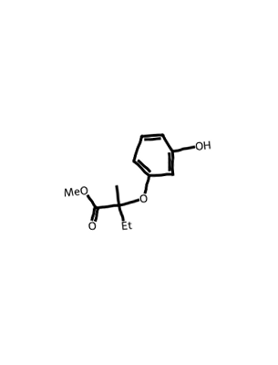 CCC(C)(Oc1cccc(O)c1)C(=O)OC